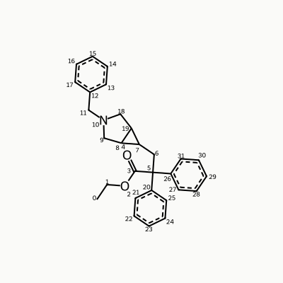 CCOC(=O)C(CC1C2CN(Cc3ccccc3)CC21)(c1ccccc1)c1ccccc1